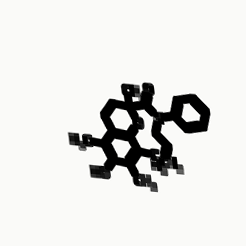 C=CCN(C(=O)C1(C)CCc2c(C)c(O)c(C)c(C)c2O1)c1ccccc1